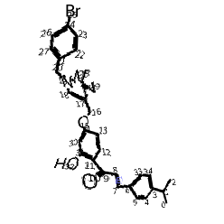 CC(C)c1ccc(/C=C/C(=O)c2ccc(OCc3cn(Cc4ccc(Br)cc4)nn3)cc2O)cc1